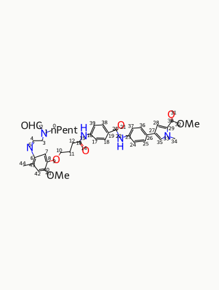 CCCCCN(C=O)C/C=N\c1cc(OCCCC(=O)Nc2ccc(C(=O)Nc3ccc(-c4cc(C(=O)OC)n(C)c4)cc3)cc2)c(OC)cc1C